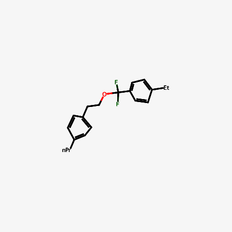 CCCc1ccc(CCOC(F)(F)c2ccc(CC)cc2)cc1